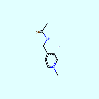 CC(=S)NCc1cc[n+](C)cc1.[I-]